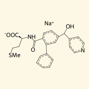 CSCC[C@H](NC(=O)c1ccc(C(O)c2ccncc2)cc1-c1ccccc1)C(=O)[O-].[Na+]